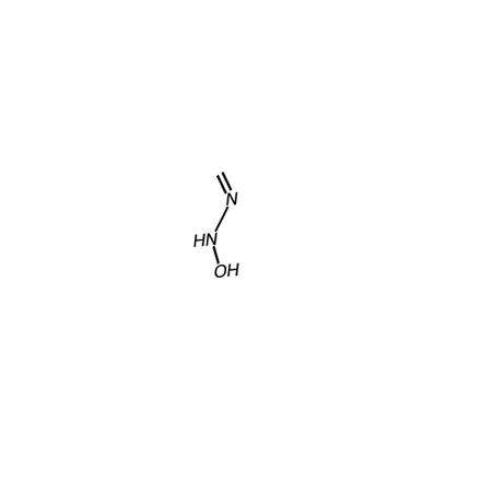 C=NNO